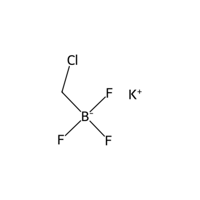 F[B-](F)(F)CCl.[K+]